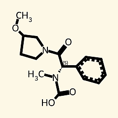 COC1CCN(C(=O)[C@H](c2ccccc2)N(C)C(=O)O)C1